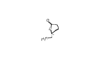 CC[C@H]1CCC(=O)O1